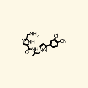 CC(Cn1ccc(-c2ccc(C#N)c(Cl)c2)n1)NC(=O)c1cnc(CN)[nH]1